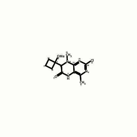 COC1(C2C(=O)Nc3c(C)nc(Cl)nc3N2C)CCC1